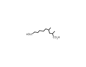 CCCCCCCCCCCCCC(C)CC(C)C(=O)O